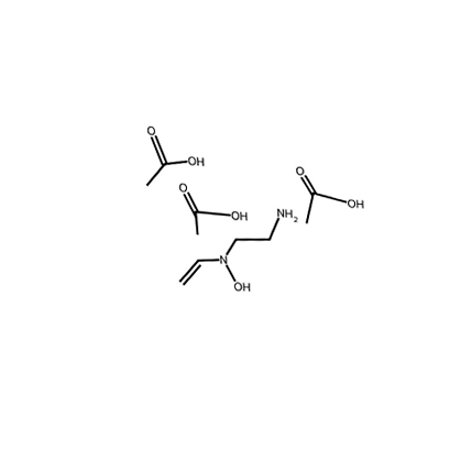 C=CN(O)CCN.CC(=O)O.CC(=O)O.CC(=O)O